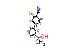 CC(O)c1cncc(-c2ccc(C#N)c(F)c2)c1